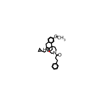 COc1ccc2c(c1)C13CCN(C(=O)CCc4ccccc4)CCC1(O)C(C2)N(CC1CC1)CC3